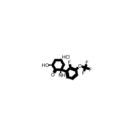 Cl.N[C@]1(c2cccc(OC(F)(F)F)c2F)CCC[C@H](O)C1=O